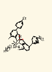 CCC1=Cc2c(-c3ccc(CC)cc3)ccc(C)c2[CH]1[Zr]([CH3])([CH3])(=[SiH2])[CH]1C(C)=Cc2c(-c3ccc(CC)cc3)ccc(C)c21.Cl.Cl